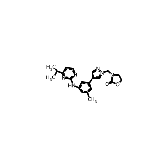 Cc1cc(Nc2nccc(C(C)C)n2)cc(-c2cnn(CN3CCOC3=O)c2)c1